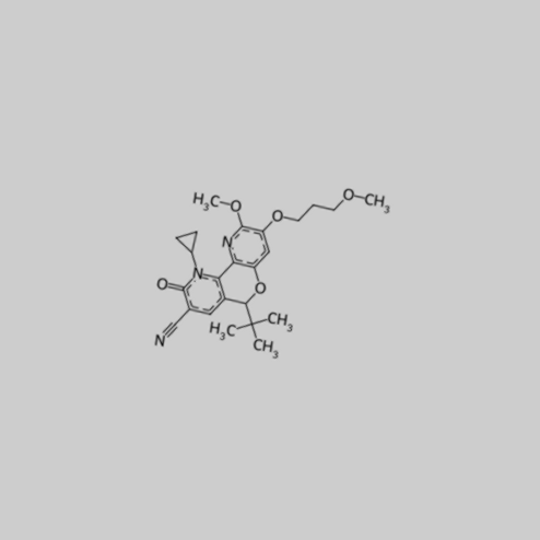 COCCCOc1cc2c(nc1OC)-c1c(cc(C#N)c(=O)n1C1CC1)C(C(C)(C)C)O2